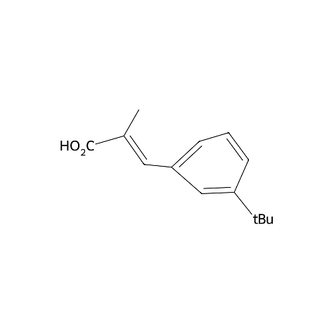 CC(=Cc1cccc(C(C)(C)C)c1)C(=O)O